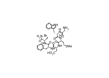 CSCC[C@H](NC(=O)[C@H](Cc1c[nH]c2ccccc12)NC(=O)[C@@H](C)N)C(=O)N[C@@H](CC(=O)O)C(=O)N[C@@H](Cc1ccccc1)C(=O)N[C@H](CBr)C(N)=O